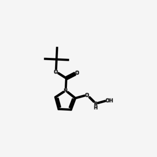 CC(C)(C)OC(=O)n1cccc1OBO